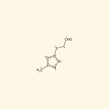 Cc1nnc(SCC=O)o1